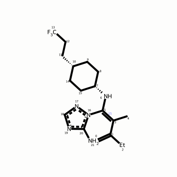 C=C(CC)/C(C)=C(/N[C@H]1CC[C@@H](CCC(F)(F)F)CC1)n1ncnc1N